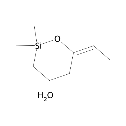 CC=C1CCC[Si](C)(C)O1.O